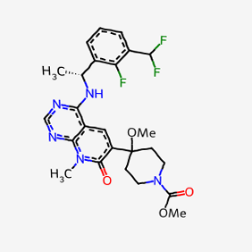 COC(=O)N1CCC(OC)(c2cc3c(N[C@H](C)c4cccc(C(F)F)c4F)ncnc3n(C)c2=O)CC1